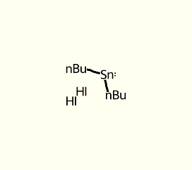 CCC[CH2][Sn][CH2]CCC.I.I